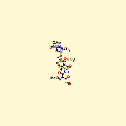 CO/N=C(/C(=O)CBr)C(=O)N[C@@H]1C(=O)N2C(OC(=O)O)=C(CSc3nc(C(=O)OC)nn3C)CS[C@H]12